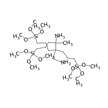 CO[Si](CCCC(C)(N)C(CN)(CCC[Si](OC)(OC)OC)CCC[Si](OC)(OC)OC)(OC)OC